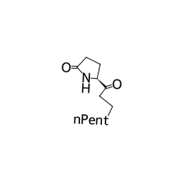 CCCCCCCC(=O)[C@@H]1CCC(=O)N1